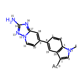 CC(=O)c1cn(C)c2ccc(-c3ccn4nc(N)nc4c3)cc12